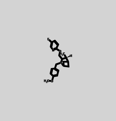 COc1ccc(CN2C3CC(C3)[C@H](C)C2COc2ccc(F)cn2)cc1